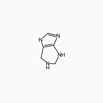 C1=NC2=C(CNCN2)[N]1